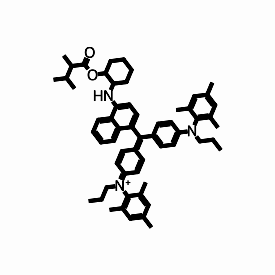 CCCN(c1ccc(C(=C2C=CC(=[N+](CCC)c3c(C)cc(C)cc3C)C=C2)c2ccc(NC3CCCCC3OC(=O)C(C)C(C)C)c3ccccc23)cc1)c1c(C)cc(C)cc1C